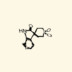 O=C1Nc2cnccc2C12CCS(=O)(=O)CC2